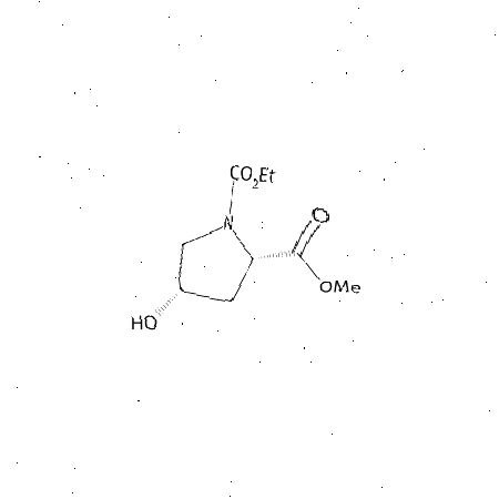 CCOC(=O)N1C[C@@H](O)C[C@H]1C(=O)OC